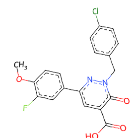 COc1ccc(-c2cc(C(=O)O)c(=O)n(Cc3ccc(Cl)cc3)n2)cc1F